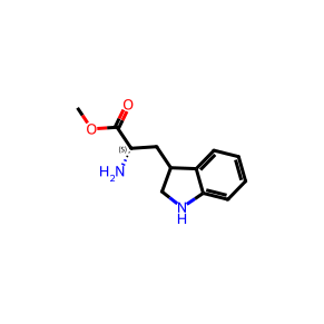 COC(=O)[C@@H](N)CC1CNc2ccccc21